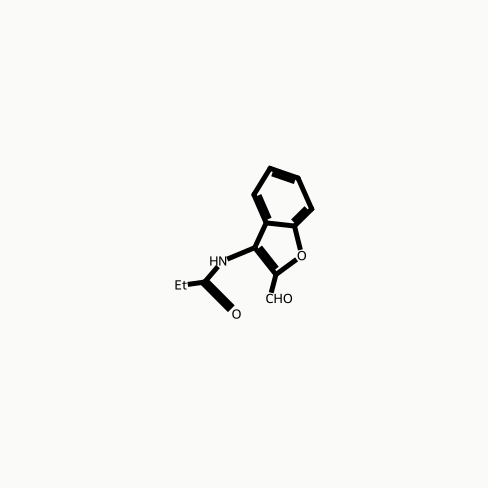 CCC(=O)Nc1c(C=O)oc2ccccc12